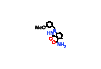 COc1cccc(Cn2[nH]c(=O)c3c(C(N)=O)[c]ccc32)c1